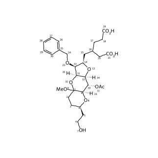 COC12CC[C@H](CCO)O[C@@H]1[C@@H](OC(C)=O)[C@@H]1O[C@H](CC(CCC(=O)O)CC(=O)O)[C@H](OCc3ccccc3)[C@@H]1O2